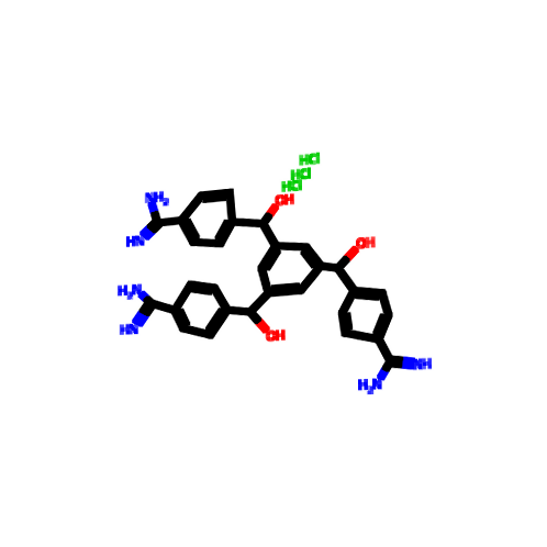 Cl.Cl.Cl.N=C(N)c1ccc(C(O)c2cc(C(O)c3ccc(C(=N)N)cc3)cc(C(O)c3ccc(C(=N)N)cc3)c2)cc1